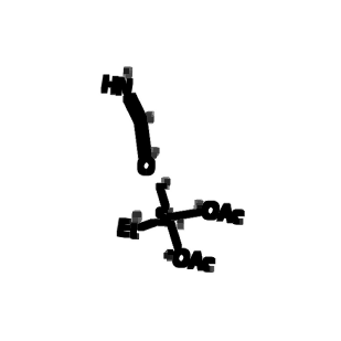 CC[Si](C)(OC(C)=O)OC(C)=O.N=C=O